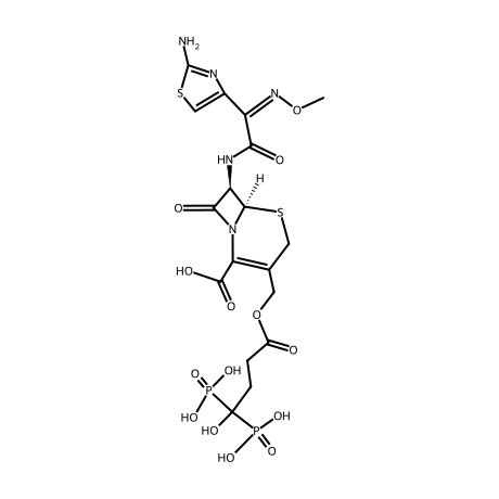 CO/N=C(\C(=O)N[C@@H]1C(=O)N2C(C(=O)O)=C(COC(=O)CCC(O)(P(=O)(O)O)P(=O)(O)O)CS[C@H]12)c1csc(N)n1